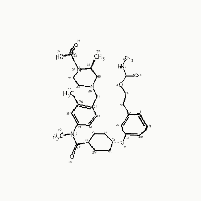 CNC(=O)OCCc1cccc(O[C@H]2CC[C@H](C(=O)N(C)c3ccc(CN4CCN(C(=O)O)[C@@H](C)C4)c(C)c3)CC2)c1